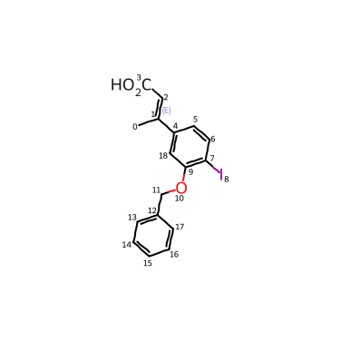 C/C(=C\C(=O)O)c1ccc(I)c(OCc2ccccc2)c1